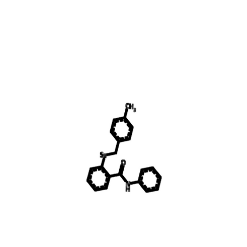 Cc1ccc(C[Se]c2ccccc2C(=O)Nc2ccccc2)cc1